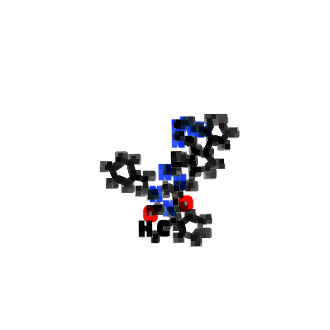 CCc1nc2c(c(=O)n(C(C)c3ccccc3)c(=O)n2CCc2ccccc2)n1Cc1ccc(-c2ccccc2)c(-c2nnn[nH]2)c1